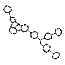 c1ccc(-c2ccc(CC(c3ccc(-c4ccccc4)cc3)c3ccc(-c4ccc5c(c4)c4cccc6c7cc(-c8ccccc8)sc7n5c46)cc3)cc2)cc1